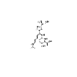 CC(C)NCCCC[C@H](NC(=O)NC(C(=O)O)C(C)O)c1nc([C@@H](N)CO)no1